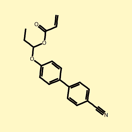 C=CC(=O)OC(CC)Oc1ccc(-c2ccc(C#N)cc2)cc1